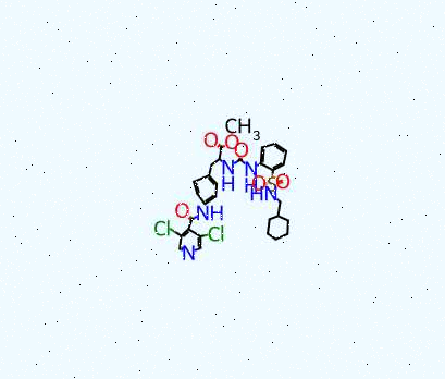 COC(=O)C(Cc1ccc(NC(=O)c2c(Cl)cncc2Cl)cc1)NC(=O)Nc1ccccc1S(=O)(=O)NCC1CCCCC1